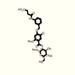 COc1cc(OCc2cccc(NC(=O)CCC(=O)O)c2)c(Cl)cc1C(=O)O[C@H]1[C@@H](OC)O[C@H](CO)[C@@H](O)[C@@H]1O